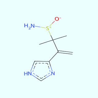 C=C(c1c[nH]cn1)C(C)(C)[S+](N)[O-]